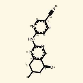 CC1CC(=O)c2cnc(Nc3ccc(C#N)cn3)nc2C1